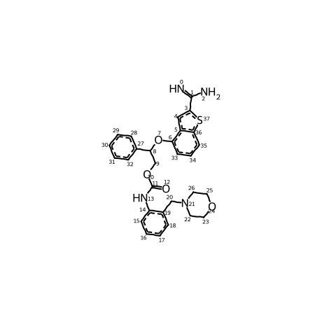 N=C(N)c1cc2c(OC(COC(=O)Nc3ccccc3CN3CCOCC3)c3ccccc3)cccc2s1